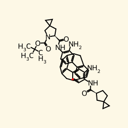 CC(C)(C)OC(=O)N1CC2(CC2)C[C@H]1C(=O)Nc1ccc(-c2cc3ccc2CCc2ccc(c(-c4ccc(NC(=O)[C@H]5CCC6(CC6)C5)c(N)c4)c2)CC3)cc1N